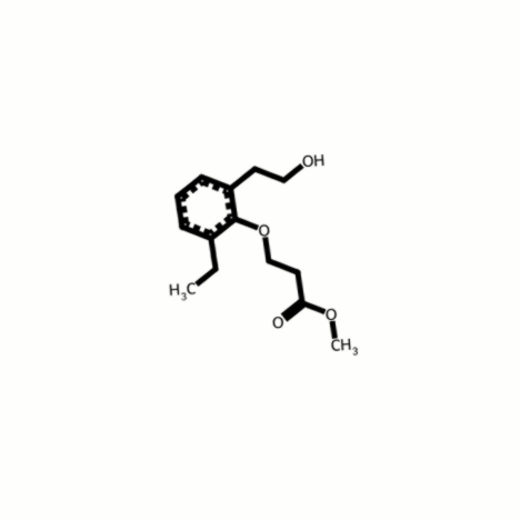 CCc1cccc(CCO)c1OCCC(=O)OC